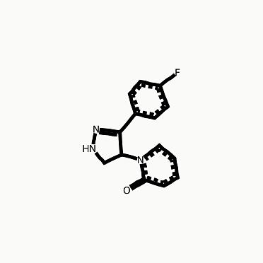 O=c1ccccn1C1CNN=C1c1ccc(F)cc1